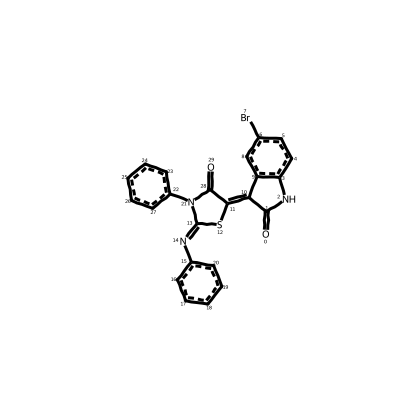 O=C1Nc2ccc(Br)cc2/C1=C1/S/C(=N\c2ccccc2)N(c2ccccc2)C1=O